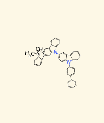 C[Si]1(C)c2ccccc2-c2cc3c(cc21)c1ccccc1n3-c1ccc2c(c1)c1ccccc1n2-c1ccc(-c2ccccc2)cc1